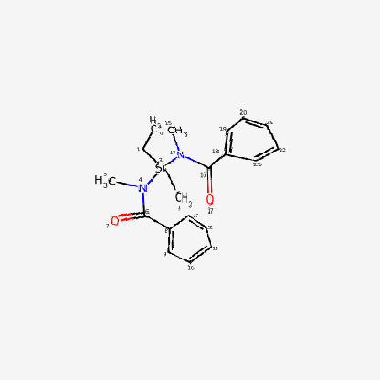 CC[Si](C)(N(C)C(=O)c1ccccc1)N(C)C(=O)c1ccccc1